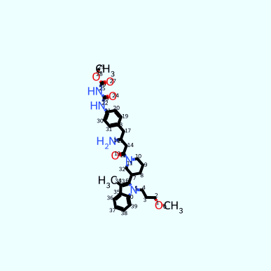 COCCCn1c(C2CCCN(C(=O)CC(N)Cc3ccc(NC(=O)NC(=O)OC)cc3)C2)c(C)c2ccccc21